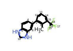 Cc1c(-c2ccc3c(c2)NCN3)cccc1C(F)(F)F